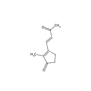 CC(=O)C=CC1=C(C)C(=O)CC1